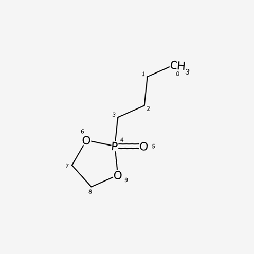 CCCCP1(=O)OCCO1